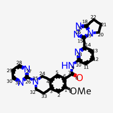 COc1cc2c(cc1C(=O)Nc1cccc(-c3nnc4n3CCC4)n1)CN(c1ncccn1)CC2